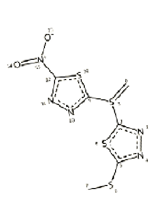 C=S(c1nnc(SC)s1)c1nnc([N+](=O)[O-])s1